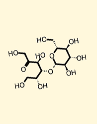 O=C(CO)[C@@H](O)[C@H](O[C@@H]1O[C@H](CO)[C@@H](O)[C@H](O)[C@H]1O)[C@H](O)CO